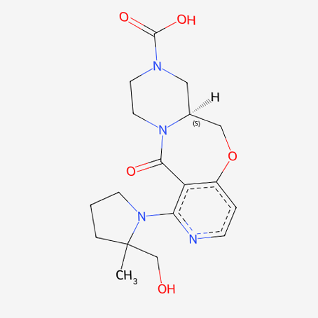 CC1(CO)CCCN1c1nccc2c1C(=O)N1CCN(C(=O)O)C[C@H]1CO2